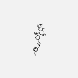 Cc1c(-c2[nH]c3ccc(C4CN(Cc5c[nH]nn5)C4)cc3c2C(C)C)cn2ncnc2c1C